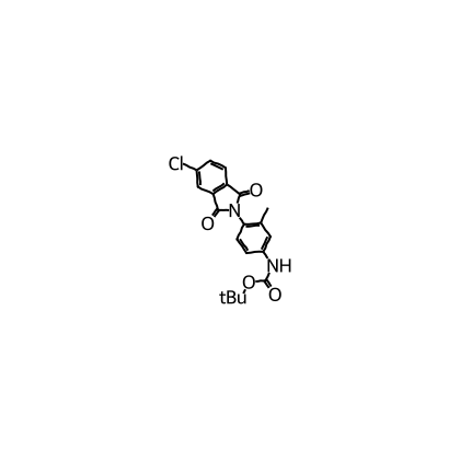 Cc1cc(NC(=O)OC(C)(C)C)ccc1N1C(=O)c2ccc(Cl)cc2C1=O